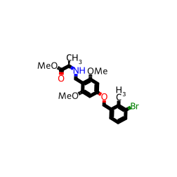 COC(=O)[C@@H](C)NCc1c(OC)cc(OCc2cccc(Br)c2C)cc1OC